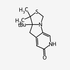 CC(C)(C)C12Cc3cc(=O)[nH]cc3N1CSC2(C)C